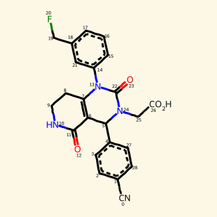 N#Cc1ccc(C2C3=C(CCNC3=O)N(c3cccc(CF)c3)C(=O)N2CC(=O)O)cc1